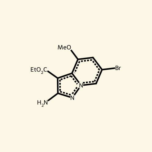 CCOC(=O)c1c(N)nn2cc(Br)cc(OC)c12